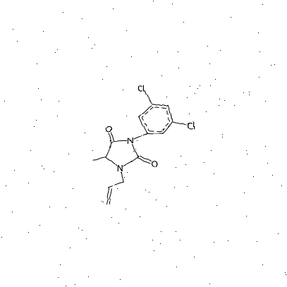 C=CCN1C(=O)N(c2cc(Cl)cc(Cl)c2)C(=O)C1C